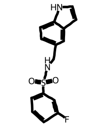 O=S(=O)(NCc1ccc2[nH]ccc2c1)c1cccc(F)c1